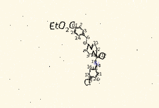 CCOC(=O)c1ccc(CCN2CCN(C(=O)/C=C/c3ccc(Cl)cc3)CC2)cc1